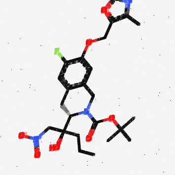 CCC[C@](O)(C[N+](=O)[O-])[C@@H]1Cc2cc(F)c(OCc3ocnc3C)cc2CN1C(=O)OC(C)(C)C